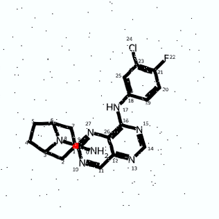 NC1CC2CCC(C1)N2c1ncc2ncnc(Nc3ccc(F)c(Cl)c3)c2n1